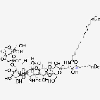 CCCCCCCCCCCCC/C=C/[C@@H](O)[C@H](CO[C@@H]1OC(CO)[C@@H](O[C@@H]2OC(CO)[C@H](O)[C@H](O[C@@H]3OC(CO)[C@@H](O)[C@H](O[C@@H]4OC(CO[C@]5(C(=O)O)CC(O)[C@@H](O)C([C@H](O)[C@H](O)CO)O5)[C@H](O)[C@H](O)C4O)C3NC(C)=O)C2O)[C@H](O)C1O)NC(=O)CCCCCCCCCCCCCCCCCCCCCCC